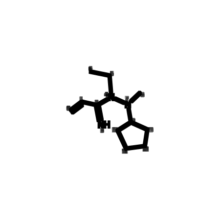 C=CC(=N)N(CC)N(C)C1CCCC1